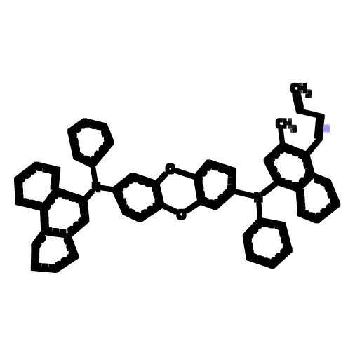 C=C/C=C\c1c(C)cc(N(c2ccccc2)c2ccc3c(c2)Oc2ccc(N(c4ccccc4)c4cc5ccccc5c5ccccc45)cc2O3)c2ccccc12